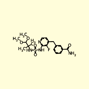 COC(OC)C(C)(C)NS(=O)(=O)Nc1nccc(Cc2cccc(C(N)=O)c2)c1F